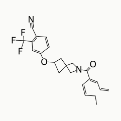 C=C/C=C(\C=C/CC)C(=O)N1CC2(CC(Oc3ccc(C#N)c(C(F)(F)F)c3)C2)C1